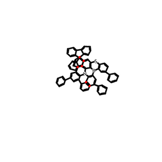 c1ccc(-c2ccc3c(c2)B2c4cc(-c5ccccc5)ccc4N(c4c(-c5ccccc5)cc(-c5ccccc5)cc4-c4ccccc4)c4cc(C5(c6ccccc6)c6ccccc6-c6ccccc65)cc(c42)S3)cc1